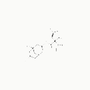 CC(C)=CC(CO)(C(O)OC1CC2CC(O)CC(O)(C2)C1)C(C)(C)C